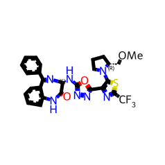 COC[C@H]1CCCN1c1sc(C(F)(F)F)nc1-c1nnc(N[C@H]2N=C(c3ccccc3)c3ccccc3NC2=O)o1